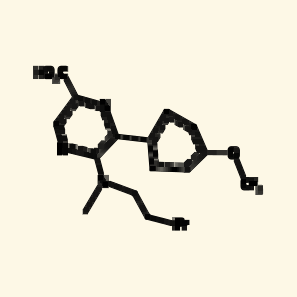 CC(C)CCN(C)c1ncc(C(=O)O)nc1-c1ccc(OC(F)(F)F)cc1